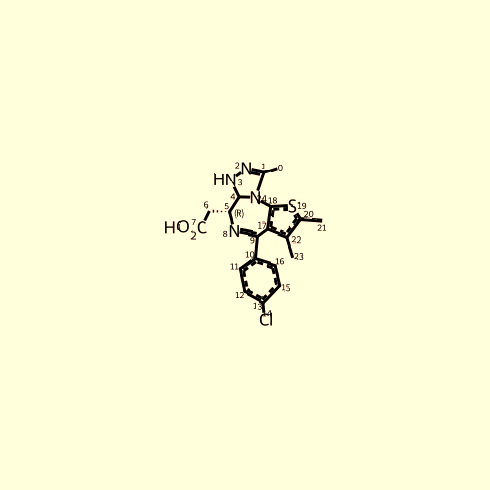 CC1=NNC2[C@@H](CC(=O)O)N=C(c3ccc(Cl)cc3)c3c(sc(C)c3C)N12